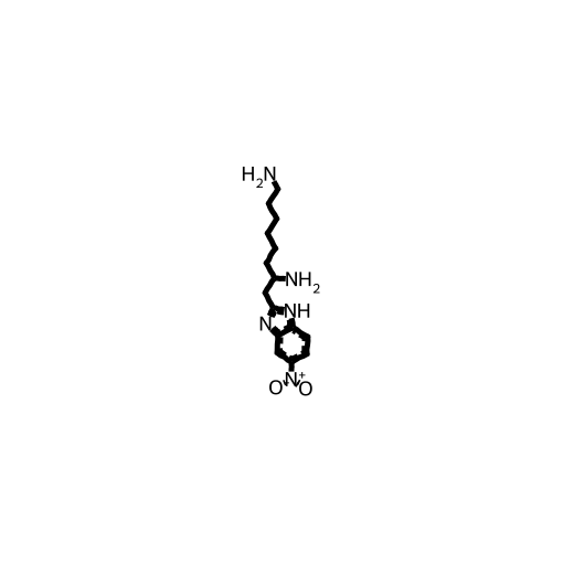 NCCCCCCC(N)Cc1nc2cc([N+](=O)[O-])ccc2[nH]1